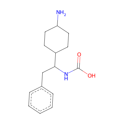 NC1CCC(C(Cc2ccccc2)NC(=O)O)CC1